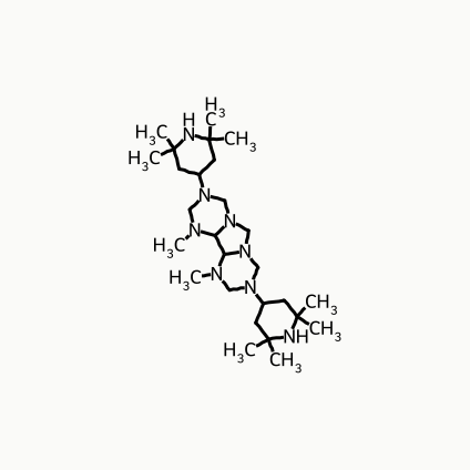 CN1CN(C2CC(C)(C)NC(C)(C)C2)CN2CN3CN(C4CC(C)(C)NC(C)(C)C4)CN(C)C3C12